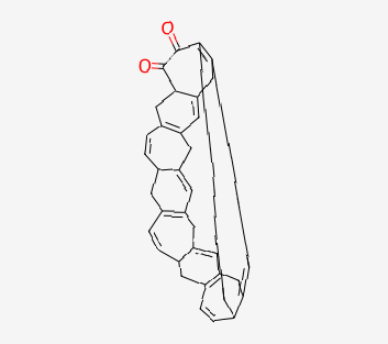 O=C1C(=O)C2CC3=C4C=C2CC2=C1CC1C=CC5=C(C=C6CC7=C(C=CC6C5)CC(C=C3)C(=C7)C4)CC1=C2